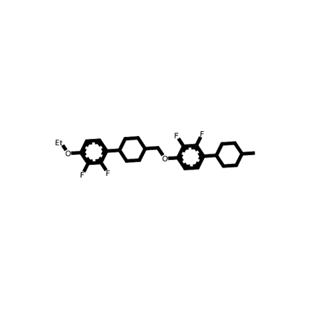 CCOc1ccc(C2CCC(COc3ccc(C4CCC(C)CC4)c(F)c3F)CC2)c(F)c1F